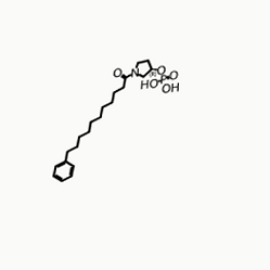 O=C(CCCCCCCCCCc1ccccc1)N1CC[C@@H](OP(=O)(O)O)C1